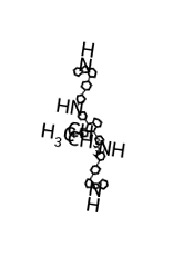 CC(C)(C)c1ccc2c(-c3ccc(Nc4ccc(-c5ccc(-c6cccc7[nH]c8ccccc8c67)cc5)cc4)cc3)c3ccccc3c(-c3ccc(Nc4ccc(-c5ccc(-c6cccc7[nH]c8ccccc8c67)cc5)cc4)cc3)c2c1